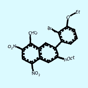 CCCCCCCCc1cc2c([N+](=O)[O-])cc([N+](=O)[O-])c([C]=O)c2cc1-c1cccc(OCC)c1Br